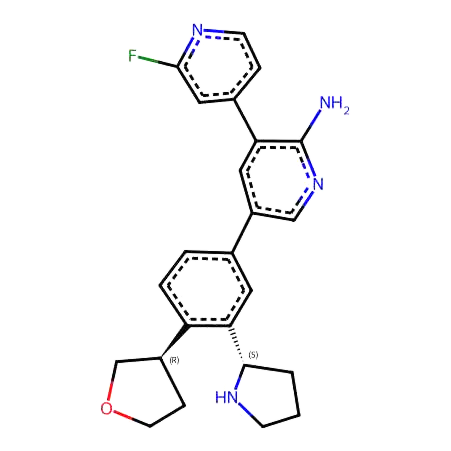 Nc1ncc(-c2ccc([C@H]3CCOC3)c([C@@H]3CCCN3)c2)cc1-c1ccnc(F)c1